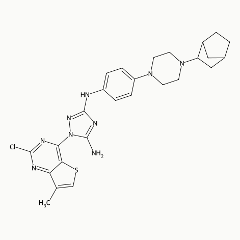 Cc1csc2c(-n3nc(Nc4ccc(N5CCN(C6CC7CCC6C7)CC5)cc4)nc3N)nc(Cl)nc12